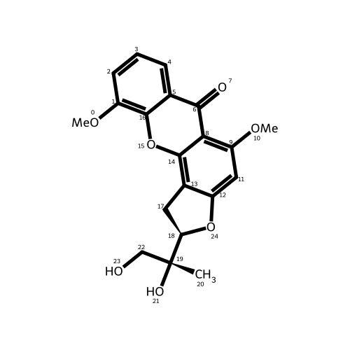 COc1cccc2c(=O)c3c(OC)cc4c(c3oc12)C[C@H]([C@](C)(O)CO)O4